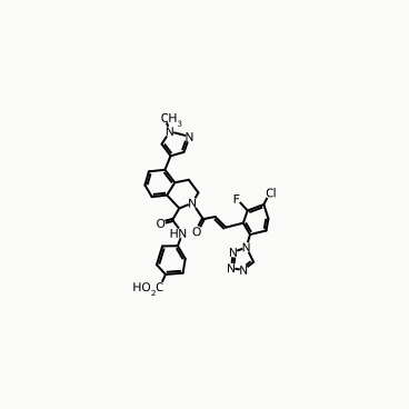 Cn1cc(-c2cccc3c2CCN(C(=O)C=Cc2c(-n4cnnn4)ccc(Cl)c2F)C3C(=O)Nc2ccc(C(=O)O)cc2)cn1